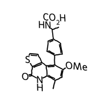 COc1cc(C)c2[nH]c(=O)c3sccc3c2c1-c1ccc(C(C)NC(=O)O)cc1